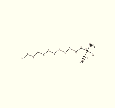 CCCCCCCCCCCCC(C)(N)C#N